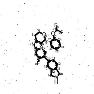 Fc1cc2nc3c(n2cc1-c1ccc2c(c1)CNC2)[C@@H](c1ccccc1OC(F)F)OCC3